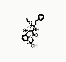 CCOC(=O)[C@@H](CCc1ccccc1)NC1C[S+]([O-])c2ccccc2N(CC(=O)O)C1=O